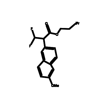 COc1ccc2cc(C(C(=O)OCCC(C)C)C(F)F)ccc2c1